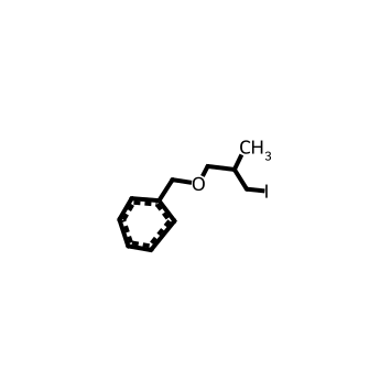 CC(CI)COCc1ccccc1